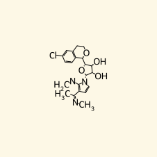 C=Nc1c(/C(C)=N\C)ccn1[C@@H]1O[C@H]([C@@H]2OCCc3cc(Cl)ccc32)[C@@H](O)[C@H]1O